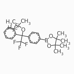 CC1(C)OB(c2ccc(C(O[Si](C)(C)C)(c3ccccc3)C(F)(F)F)cc2)OC1(C)C